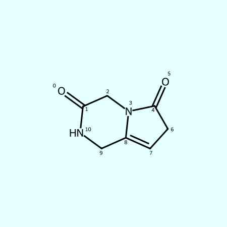 O=C1CN2C(=O)CC=C2CN1